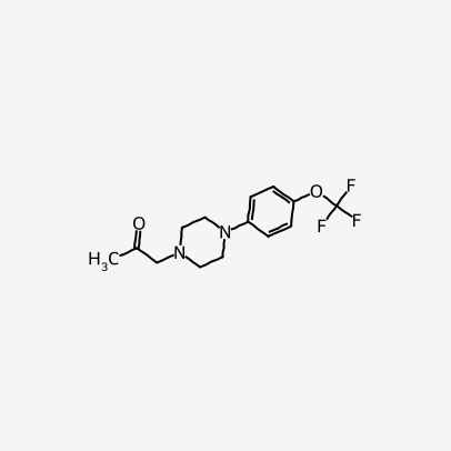 CC(=O)CN1CCN(c2ccc(OC(F)(F)F)cc2)CC1